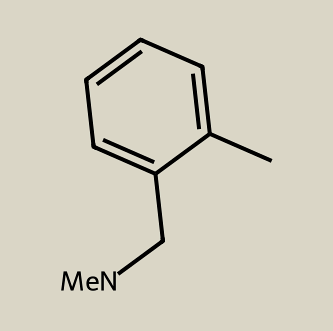 [CH2]NCc1ccccc1C